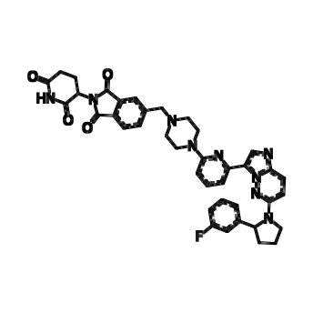 O=C1CCC(N2C(=O)c3ccc(CN4CCN(c5cccc(-c6cnc7ccc(N8CCCC8c8cccc(F)c8)nn67)n5)CC4)cc3C2=O)C(=O)N1